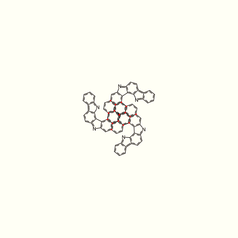 c1ccc(-c2ccc3c(c2-c2ccccc2N(c2ccccc2-c2c(-c4ccccc4)ccc4c2-c2c5c(ccc2=N4)=c2ccccc2=N5)c2ccccc2-c2c(-c4ccccc4)ccc4c2-c2c5c(ccc2=N4)=c2ccccc2=N5)-c2c4c(ccc2=N3)=c2ccccc2=N4)cc1